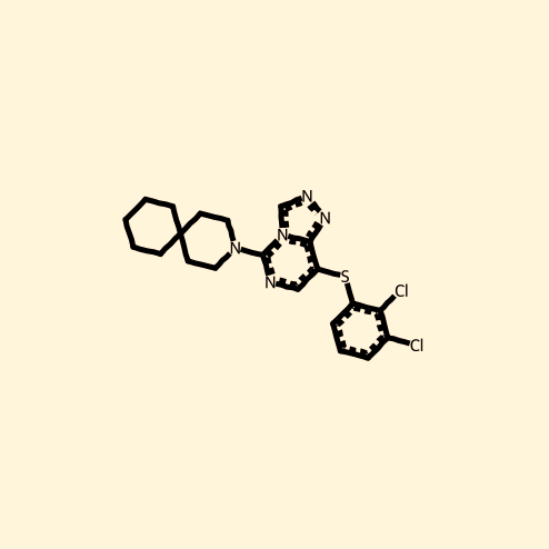 Clc1cccc(Sc2cnc(N3CCC4(CCCCC4)CC3)n3cnnc23)c1Cl